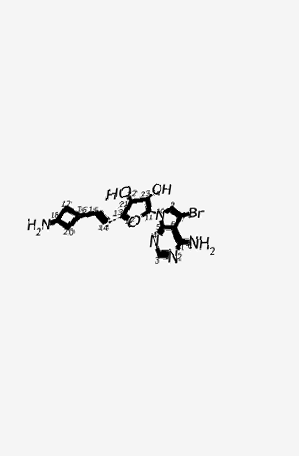 Nc1ncnc2c1c(Br)cn2[C@@H]1O[C@H](/C=C/C2CC(N)C2)[C@@H](O)[C@H]1O